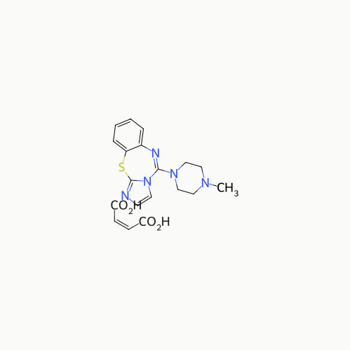 CN1CCN(C2=Nc3ccccc3Sc3nccn32)CC1.O=C(O)/C=C\C(=O)O